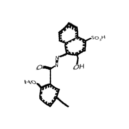 Cc1ccc(O)c(C(=O)N=Nc2c(O)cc(S(=O)(=O)O)c3ccccc23)c1